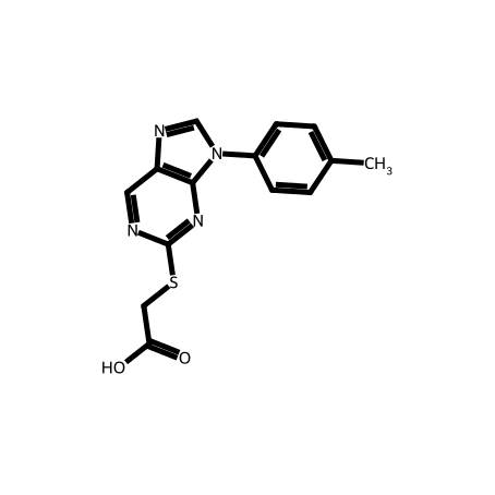 Cc1ccc(-n2cnc3cnc(SCC(=O)O)nc32)cc1